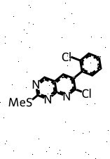 CSc1ncc2cc(-c3ccccc3Cl)c(Cl)nc2n1